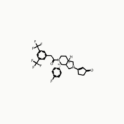 O=C1C=C(N2CC3[C@H](CCN(C(=O)Cc4cc(C(F)(F)F)cc(C(F)(F)F)c4)[C@H]3c3ccc(F)cc3)C2)CC1